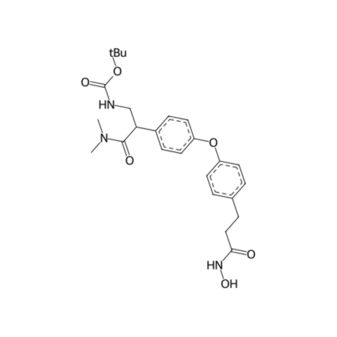 CN(C)C(=O)C(CNC(=O)OC(C)(C)C)c1ccc(Oc2ccc(CCC(=O)NO)cc2)cc1